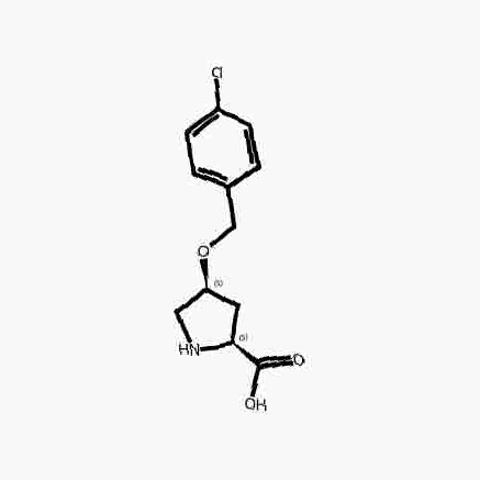 O=C(O)[C@@H]1C[C@H](OCc2ccc(Cl)cc2)CN1